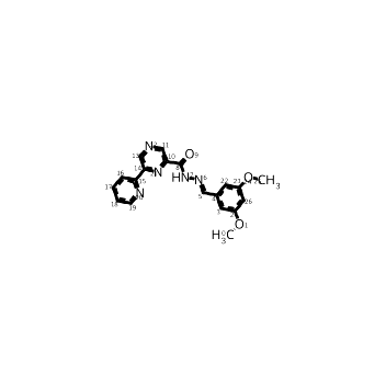 COc1cc(/C=N/NC(=O)c2cncc(-c3ccccn3)n2)cc(OC)c1